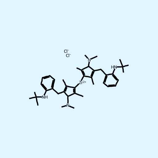 CC1=C(Cc2ccccc2NC(C)(C)C)C(N(C)C)C(C)=[C]1[Zr+2][C]1=C(C)C(N(C)C)C(Cc2ccccc2NC(C)(C)C)=C1C.[Cl-].[Cl-]